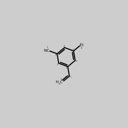 C=[C]c1cc(C#N)cc(CC)c1